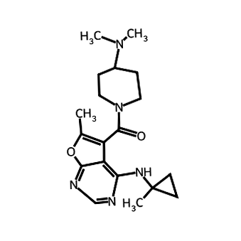 Cc1oc2ncnc(NC3(C)CC3)c2c1C(=O)N1CCC(N(C)C)CC1